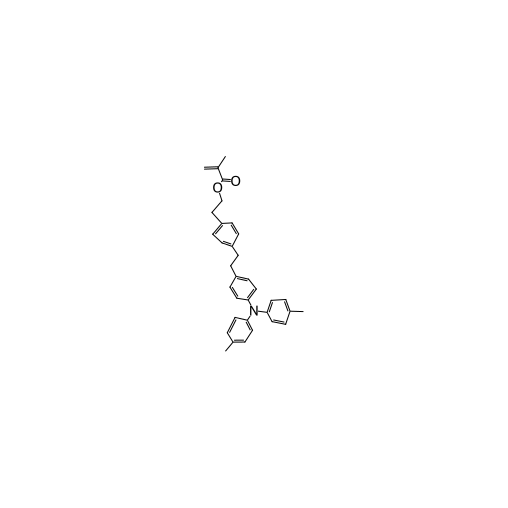 C=C(C)C(=O)OCCc1ccc(CCc2ccc(N(c3ccc(C)cc3)c3ccc(C)cc3)cc2)cc1